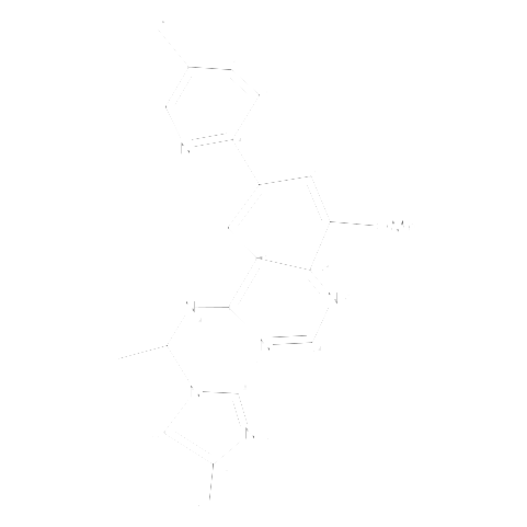 COc1cc(-c2ccc(C)cn2)cc2c(NC(C)n3cnc(C)c3)ncnc12